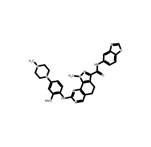 COc1cc(N2CCN(C)CC2)ccc1Nc1ncc2c(n1)-c1c(c(C(=O)Nc3ccc4scnc4c3)nn1C)CC2